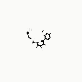 C#CCOC(=S)c1nc(-c2ccc(Cl)c3c2OCO3)c(F)c(N)c1Cl